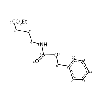 CCOC(=O)CC[CH]NC(=O)OCc1ccccc1